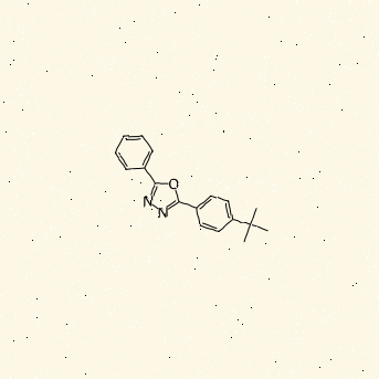 CC(C)(C)c1ccc(-c2nnc(-c3ccccc3)o2)cc1